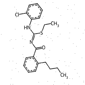 CCCCc1ccccc1C(=O)N=C(Nc1ccccc1Cl)SCC